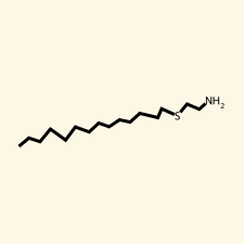 CCCCCCCCCCCCCCSCCN